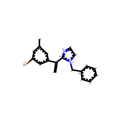 C=C(c1cc(C)cc(Br)c1)c1nccn1Cc1ccccc1